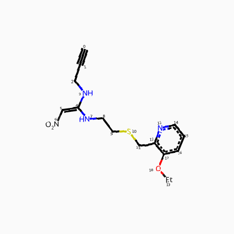 C#CCN/C(=C/[N+](=O)[O-])NCCSCc1ncccc1OCC